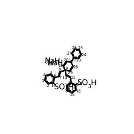 O=S(=O)(O)c1ccccc1/C=C/C1(/C=C/c2ccccc2S(=O)(=O)O)C=CC(c2ccccc2)C=C1.[NaH].[NaH]